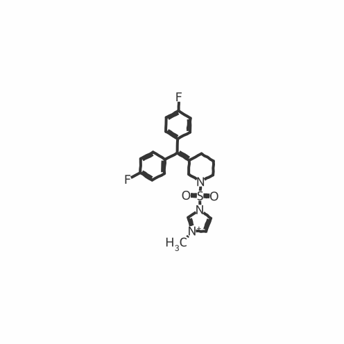 C[n+]1ccn(S(=O)(=O)N2CCCC(=C(c3ccc(F)cc3)c3ccc(F)cc3)C2)c1